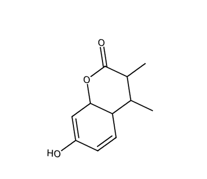 CC1C(=O)OC2C=C(O)C=CC2C1C